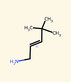 CC(C)(C)/C=C/CN